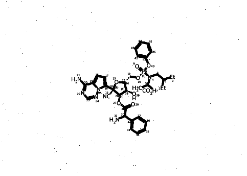 CCC(CC)CN(C(C)C(=O)O)[P@](=O)(OC[C@H]1O[C@@](C#N)(c2ccc3c(N)ncnn23)[C@H](OC(=O)C(N)c2ccccc2)[C@@H]1O)Oc1ccccc1